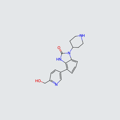 O=c1[nH]c2c(-c3ccc(CO)nc3)cccc2n1C1CCNCC1